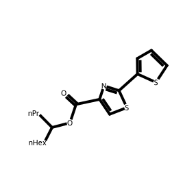 CCCCCCC(CCC)OC(=O)c1csc(-c2cccs2)n1